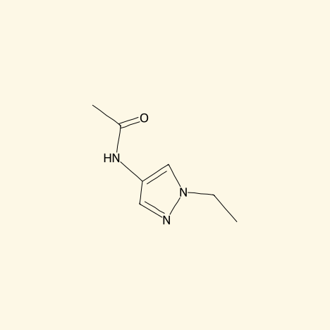 CCn1cc(NC(C)=O)cn1